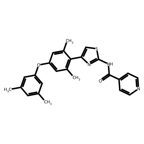 Cc1cc(C)cc(Oc2cc(C)c(-c3csc(NC(=O)c4ccncc4)n3)c(C)c2)c1